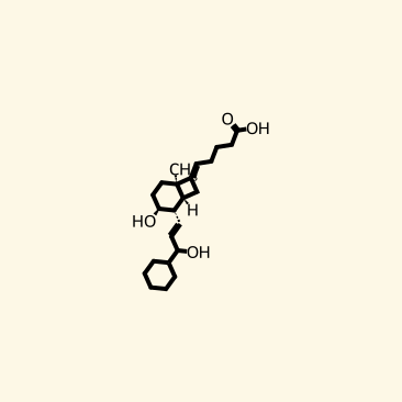 C[C@@]12CC[C@H](O)[C@@H](/C=C/C(O)C3CCCCC3)[C@@H]1CC2=CCCCC(=O)O